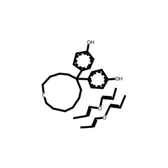 CC=COC=CC.CC=COC=CC.Oc1ccc(C2(c3ccc(O)cc3)CCCCCCCCCCC2)cc1